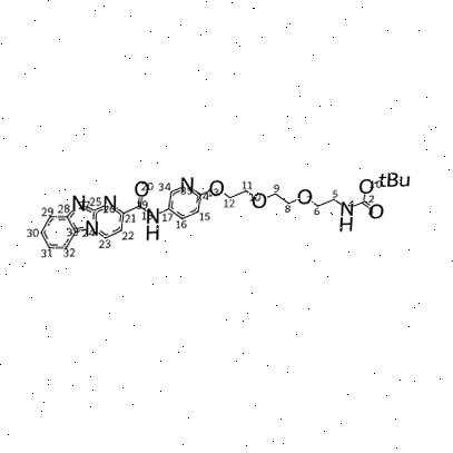 CC(C)(C)OC(=O)NCCOCCOCCOc1ccc(NC(=O)c2ccn3c(n2)nc2ccccc23)cn1